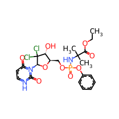 CCOC(=O)C(C)(C)NP(=O)(OC[C@H]1O[C@@H](n2c(=O)cc[nH]c2=O)C(Cl)(Cl)[C@@H]1O)Oc1ccccc1